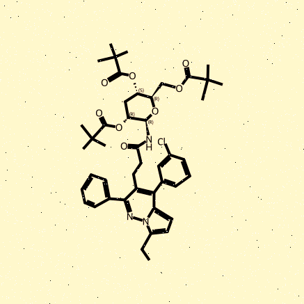 CCc1ccc2c(-c3cccc(Cl)c3)c(CCC(=O)N[C@@H]3O[C@H](COC(=O)C(C)(C)C)[C@@H](OC(=O)C(C)(C)C)[CH][C@H]3OC(=O)C(C)(C)C)c(-c3ccccc3)nn12